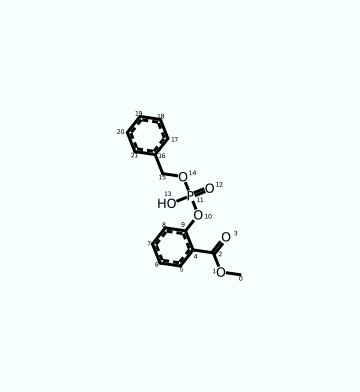 COC(=O)c1ccccc1OP(=O)(O)OCc1ccccc1